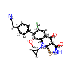 COc1c(-c2ccc(CC#N)cc2)c(F)cc2c(=O)c3c(=O)[nH]sc3n(C3CC3)c12